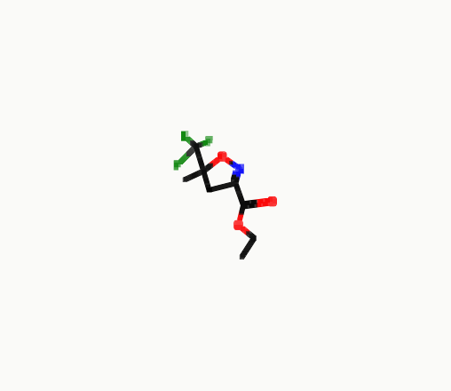 CCOC(=O)C1=NOC(C)(C(F)(F)F)C1